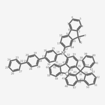 CC1(C)c2ccccc2-c2ccc(N(c3ccc(-c4ccc(-c5ccccc5)cc4)cc3)c3ccc(C4(c5ccccc5)c5ccccc5-c5ccccc54)c4oc5ccccc5c34)cc21